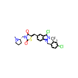 CN1CCC[C@H]1CN1C(=O)S/C(=C\c2ccc3c(c2)c(Cl)nn3Cc2ccc(Cl)cc2C(F)(F)F)C1=O